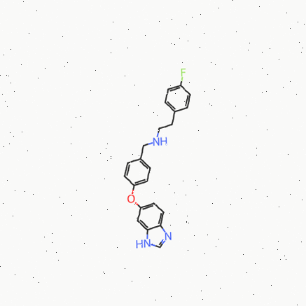 Fc1ccc(CCNCc2ccc(Oc3ccc4nc[nH]c4c3)cc2)cc1